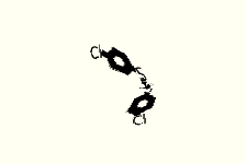 Clc1ccc(SSSc2ccc(Cl)cc2)cc1